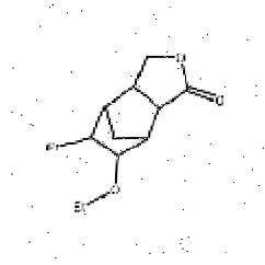 CCOC1C2CC(C3COC(=O)C32)C1C(C)C